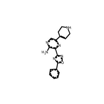 Nc1ncc(C2=CCNCC2)nc1-c1noc(-c2ccccc2)n1